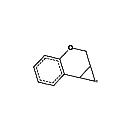 [C]1C2COc3ccccc3C12